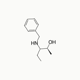 CCC(NCc1ccccc1)[C@H](C)O